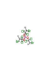 CC(Br)C(Cl)(Cl)OP(OC(Cl)(Cl)C(C)Br)OC(Cl)(Cl)C(C)Br